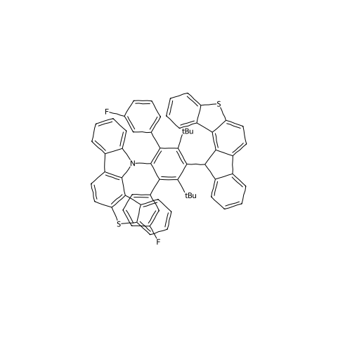 CC(C)(C)c1c(-c2cccc(F)c2)c(-n2c3ccccc3c3ccc4sc5ccccc5c4c32)c(-c2cccc(F)c2)c(C(C)(C)C)c1C1c2ccccc2-c2ccc3sc4ccccc4c3c21